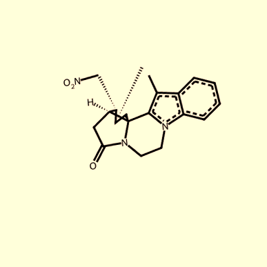 Cc1c2n(c3ccccc13)CCN1C(=O)C[C@H]3[C@H](C[N+](=O)[O-])[C@@H](C)C[C@]231